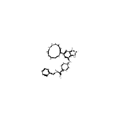 O=C(OCc1ccccc1)C1CCC(Oc2cc(C3CCCCCCCCCC3)cc3nonc23)CC1